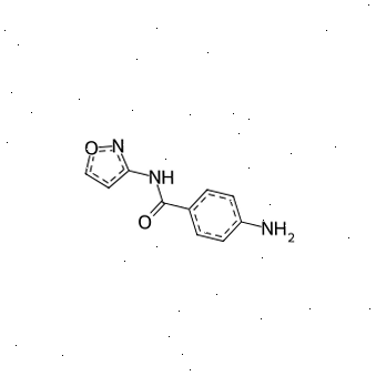 Nc1ccc(C(=O)Nc2ccon2)cc1